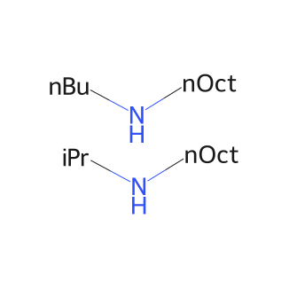 CCCCCCCCNC(C)C.CCCCCCCCNCCCC